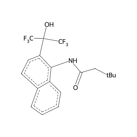 CC(C)(C)CC(=O)Nc1c(C(O)(C(F)(F)F)C(F)(F)F)ccc2ccccc12